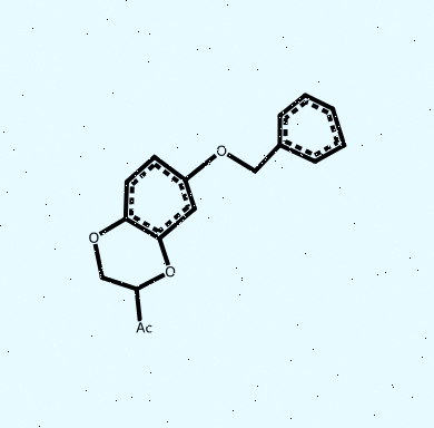 CC(=O)C1COc2ccc(OCc3ccccc3)cc2O1